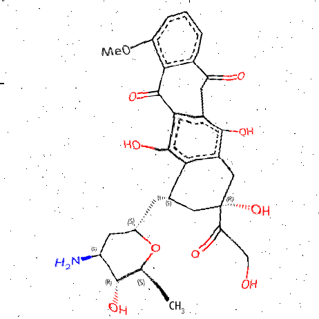 COc1cccc2c1C(=O)c1c(O)c3c(c(O)c1C2=O)C[C@@](O)(C(=O)CO)C[C@@H]3C[C@H]1C[C@H](N)[C@@H](O)[C@H](C)O1